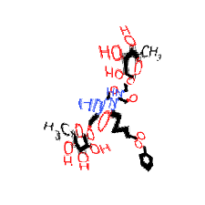 C[C@@H]1O[C@@H](OCCNC(C=O)N(C(=O)CCCCC(=O)OCc2ccccc2)C(C=O)NCCO[C@@H]2O[C@@H](C)[C@@H](O)[C@@H](O)[C@@H]2O)[C@@H](O)[C@H](O)[C@@H]1O